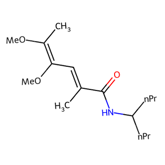 CCCC(CCC)NC(=O)/C(C)=C/C(OC)=C(\C)OC